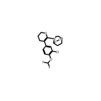 FC(F)Oc1ccc(C2=C(N3CCN4CCC3CC4)OCCC2)cc1Cl